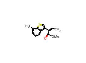 CC=C(C(=O)OC)c1csc2c(C)cccc12